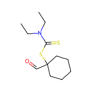 CCN(CC)C(=S)SC1(C=O)CCCCC1